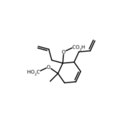 C=CCC1C=CCC(C)(OC(=O)O)C1(CC=C)OC(=O)O